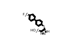 O=C(O)c1nn[nH]c1Sc1ccc(-c2ccc(C(F)(F)F)cc2)cc1